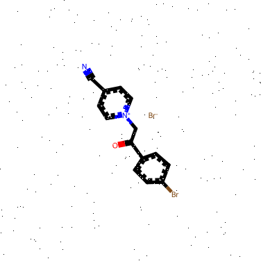 N#Cc1cc[n+](CC(=O)c2ccc(Br)cc2)cc1.[Br-]